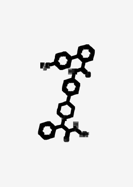 CCCNC(=O)C(c1ccccc1)N1CCC(c2ccc(NC(=O)c3ccccc3-c3ccc(C(F)(F)F)cc3)cc2)CC1